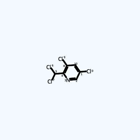 Clc1cnc(C(Cl)Cl)c(Cl)c1